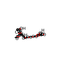 CCC(=O)N1CCN(c2nc(NCCC(=O)N(C)CCOCCOCCOCCOc3ccc4c(c3)CN(C3CCC(=O)NC3=O)C4=O)nc3c(F)c(-c4cc(O)cc5ccccc45)c(Cl)cc23)CC1